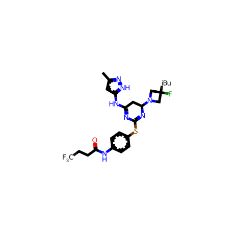 CCC(C)C1(F)CN(C2CC(Nc3cc(C)n[nH]3)=NC(Sc3ccc(NC(=O)CCC(F)(F)F)cc3)=N2)C1